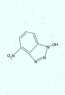 O=[N+]([O-])c1cccc2c1nnn2O